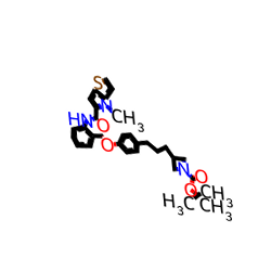 Cn1c(C(=O)Nc2ccccc2COc2ccc(CCCC3CN(C(=O)OC(C)(C)C)C3)cc2)cc2sccc21